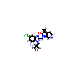 NC1(Cn2c(CN3C(=O)C4(CC4)c4ccncc43)nc3cc(Cl)ccc32)COC1